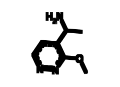 COc1nnccc1C(C)N